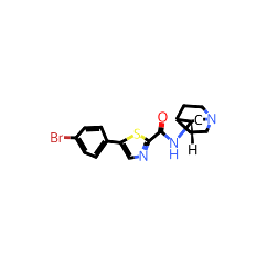 O=C(N[C@H]1CN2CCC1CC2)c1ncc(-c2ccc(Br)cc2)s1